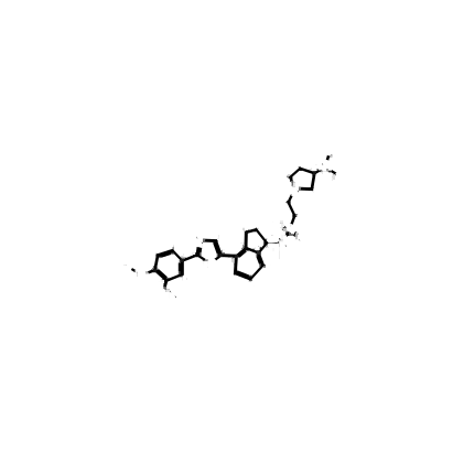 CC(C)Oc1ccc(-c2ncc(-c3cccc4c3CC[C@H]4NS(=O)(=O)CCN3CCC(N(C)C)C3)s2)cc1C#N